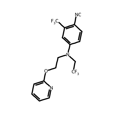 [C-]#[N+]c1ccc(N(CCOc2ccccn2)CC(F)(F)F)cc1C(F)(F)F